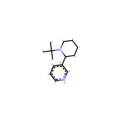 CC(C)(C)N1CCCCC1c1cccnc1